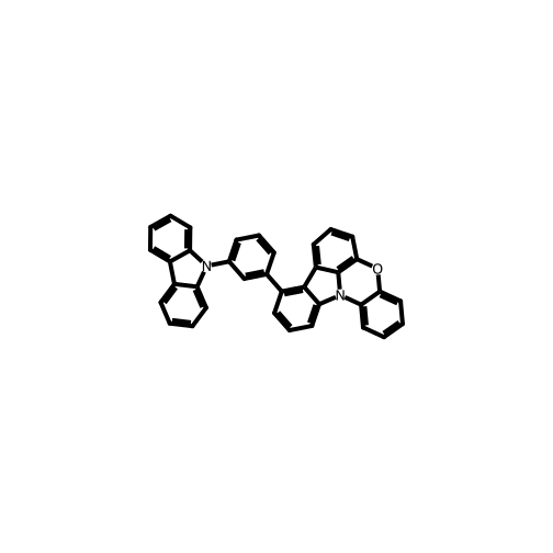 c1cc(-c2cccc3c2c2cccc4c2n3-c2ccccc2O4)cc(-n2c3ccccc3c3ccccc32)c1